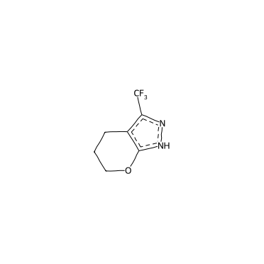 FC(F)(F)c1n[nH]c2c1CCCO2